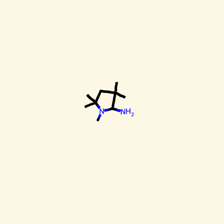 CN1C(N)C(C)(C)CC1(C)C